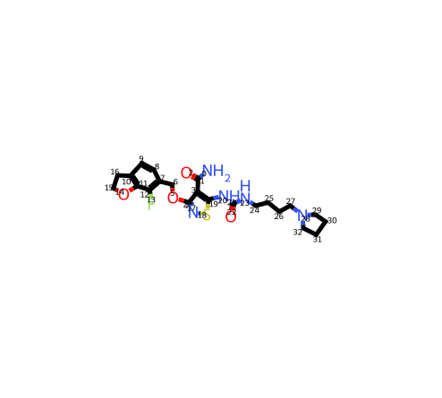 NC(=O)c1c(OCc2ccc3c(c2F)OCC3)nsc1NC(=O)NCCCCN1CCCC1